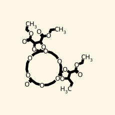 CCOC(=O)C1OC2(COCCOC3(COCCOC(=O)COCCO2)OC(C(=O)OCC)C(C(=O)OCC)O3)OC1CC